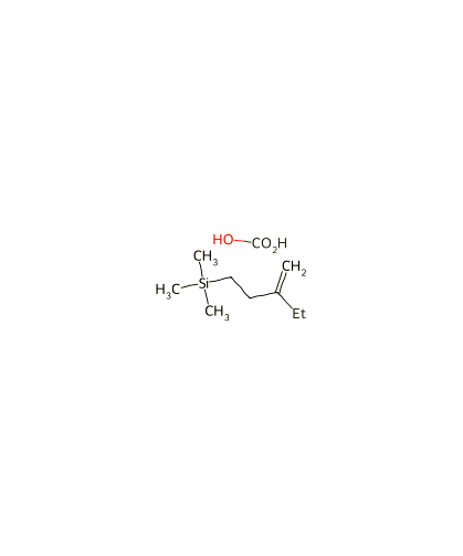 C=C(CC)CC[Si](C)(C)C.O=C(O)O